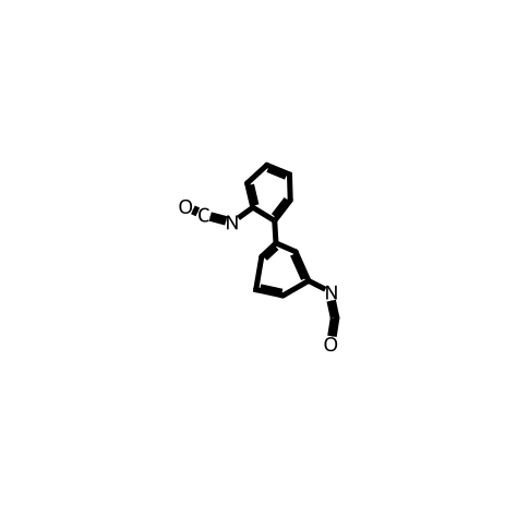 O=C=Nc1cccc(-c2ccccc2N=C=O)c1